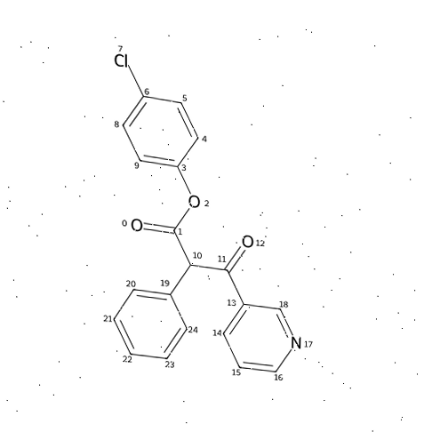 O=C(Oc1ccc(Cl)cc1)C(C(=O)c1cccnc1)c1ccccc1